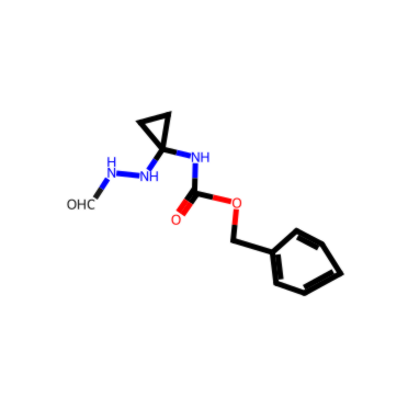 O=CNNC1(NC(=O)OCc2ccccc2)CC1